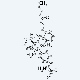 CCCCC(=O)CCCc1ccccc1C(N)C(c1ccccc1CC)N(N)Cc1ccc(CC(N)C(C)=O)cc1